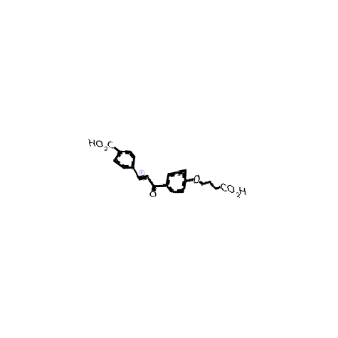 O=C(O)CCCOc1ccc(C(=O)/C=C/c2ccc(C(=O)O)cc2)cc1